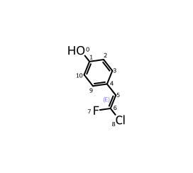 Oc1ccc(/C=C(\F)Cl)cc1